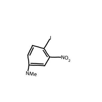 CNc1ccc(I)c([N+](=O)[O-])c1